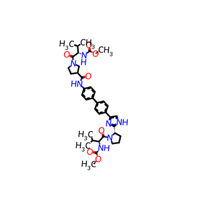 COC(=O)N[C@H](C(=O)N1CCC(C(=O)Nc2ccc(-c3ccc(-c4c[nH]c([C@@H]5CCCN5C(=O)[C@@H](NC(=O)OC)C(C)C)n4)cc3)cc2)C1)C(C)C